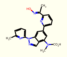 CC(=NO)c1cccc(-c2cc(N(C)C(=O)O)c3cnn(-c4cccc(C)n4)c3c2)n1